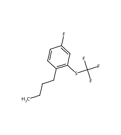 [CH2]CCCc1ccc(F)cc1SC(F)(F)F